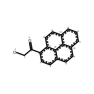 O=C(CCl)c1ccc2ccc3cccc4ccc1c2c34